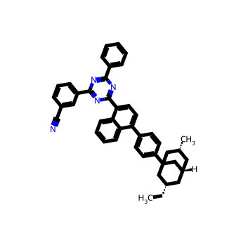 CC[C@H]1C[C@H]2C[C@@H](C)CC(c3ccc(-c4ccc(-c5nc(-c6ccccc6)nc(-c6cccc(C#N)c6)n5)c5ccccc45)cc3)(C2)C1